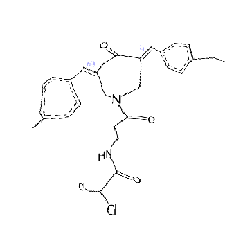 Cc1ccc(/C=C2\CN(C(=O)CCNC(=O)C(Cl)Cl)C/C(=C\c3ccc(C)cc3)C2=O)cc1